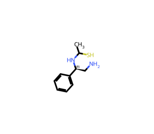 CC(S)N[C@@H](CN)c1ccccc1